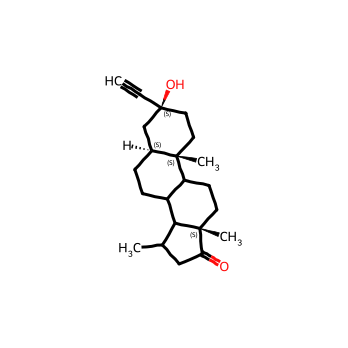 C#C[C@]1(O)CC[C@]2(C)C3CC[C@]4(C)C(=O)CC(C)C4C3CC[C@H]2C1